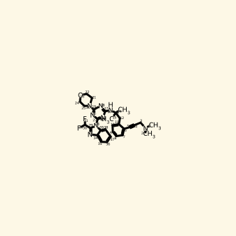 CN(C)CC#Cc1ccccc1CC(C)(C)Nc1nc(N2CCOCC2)nc(-n2c(C(F)F)nc3ccccc32)n1